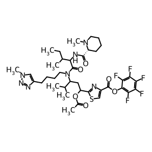 CCC(C)C(NC(=O)[C@H]1CCCCN1C)C(=O)N(CCCCc1cn(C)nn1)C(CC(OC(C)=O)c1nc(C(=O)Oc2c(F)c(F)c(F)c(F)c2F)cs1)C(C)C